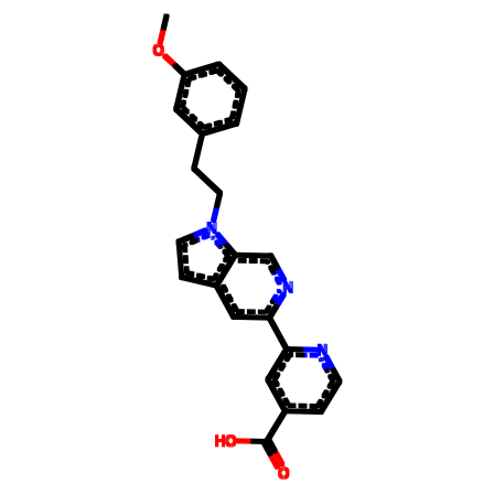 COc1cccc(CCn2ccc3cc(-c4cc(C(=O)O)ccn4)ncc32)c1